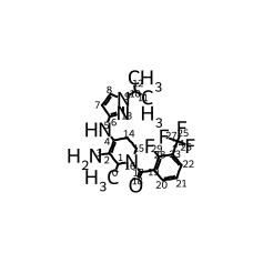 CC1C(N)=C(Nc2ccn(C(C)C)n2)CCN1C(=O)c1cccc(C(F)(F)F)c1F